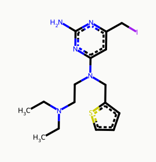 CCN(CC)CCN(Cc1cccs1)c1cc(CI)nc(N)n1